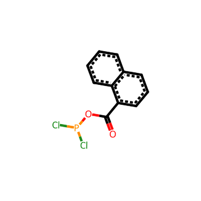 O=C(OP(Cl)Cl)c1cccc2ccccc12